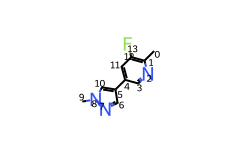 Cc1ncc(-c2cnn(C)c2)cc1F